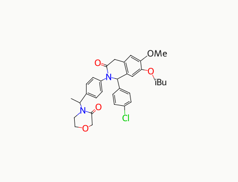 CCC(C)Oc1cc2c(cc1OC)CC(=O)N(c1ccc(C(C)N3CCOCC3=O)cc1)C2c1ccc(Cl)cc1